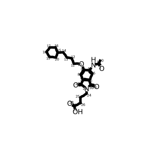 CC(=O)Nc1cc2c(cc1OCCCCC1CCCCC1)C(=O)N(CCCC(=O)O)C2=O